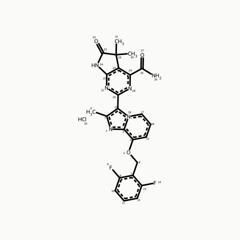 Cc1nc2c(OCc3c(F)cccc3F)cccn2c1-c1nc2c(c(C(N)=O)n1)C(C)(C)C(=O)N2.Cl